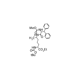 CCOC(=O)C(CCCC(C)NC(=O)C(NC(=O)OC)C(c1ccccc1)c1ccccc1)NC(=O)OC(C)(C)C